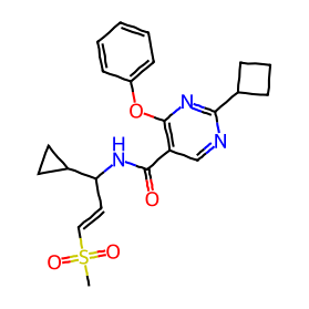 CS(=O)(=O)C=CC(NC(=O)c1cnc(C2CCC2)nc1Oc1ccccc1)C1CC1